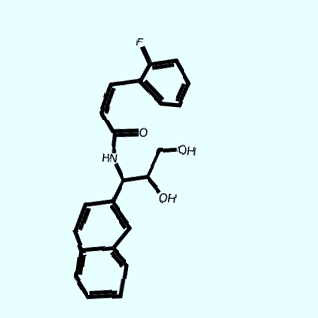 O=C(/C=C\c1ccccc1F)NC(c1ccc2ccccc2c1)C(O)CO